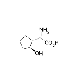 NC(C(=O)O)[C@H]1CCC[C@@H]1O